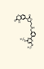 COc1nc(OC)nc(-c2cccc(CNCCC3CN(c4ccc5c(c4)NC(=O)CS5)C(=O)O3)c2)n1